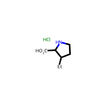 CCC1CCNC1C(=O)O.Cl